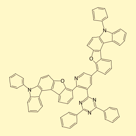 c1ccc(-c2nc(-c3ccccc3)nc(-c3cc(-c4cccc5c4oc4ccc6c(c7ccccc7n6-c6ccccc6)c45)cnc3-c3cccc4c3oc3ccc5c(c6ccccc6n5-c5ccccc5)c34)n2)cc1